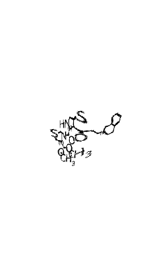 COC(OC)[C@@H]1CSCN1C(=O)[C@H]1NCC(=S)C1C(=O)CC[C@@H]1CCc2ccccc2C1